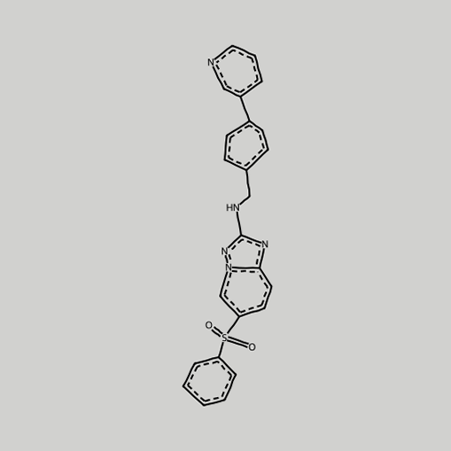 O=S(=O)(c1ccccc1)c1ccc2nc(NCc3ccc(-c4cccnc4)cc3)nn2c1